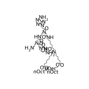 CCCCCCCCCCCOC(=O)CCCCCN(CCCCCCCC(=O)OC(CCCCCCCC)CCCCCCCC)CC(O)CCCCNC(=O)CN(CCNC(=O)CN(CCN)C(=O)Cn1ccc(N)nc1=O)C(=O)Cn1cnc2c(N)ncnc21